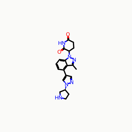 Cc1nn(C2CCC(=O)NC2=O)c2cccc(-c3cnn([C@H]4CCNC4)c3)c12